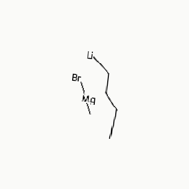 [CH3][Mg][Br].[Li][CH2]CCC